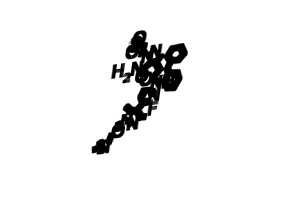 Cc1nn(COCC[Si](C)(C)C)c(C)c1-c1ccc(NC(=O)[C@H](c2cnn(CCS(C)(=O)=O)c2C(N)=O)C(C2CCCCC2)C2CCCCC2)nc1F